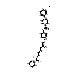 O=C(NCCNC[C@H](O)COc1ccc(OC(=O)N2CCC(N3CCCCC3)CC2)cc1)N1CCOCC1